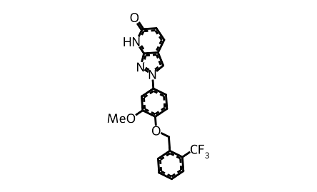 COc1cc(-n2cc3ccc(=O)[nH]c3n2)ccc1OCc1ccccc1C(F)(F)F